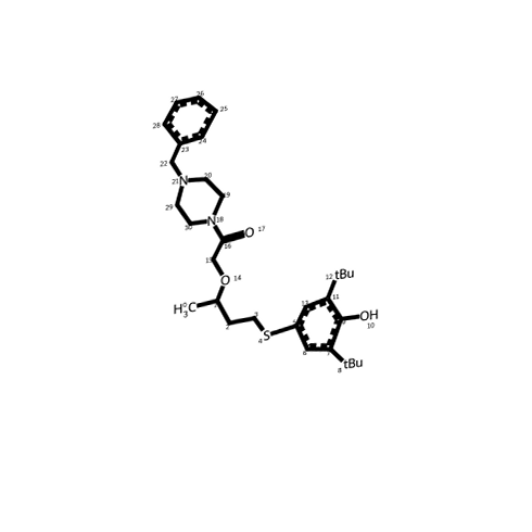 CC(CCSc1cc(C(C)(C)C)c(O)c(C(C)(C)C)c1)OCC(=O)N1CCN(Cc2ccccc2)CC1